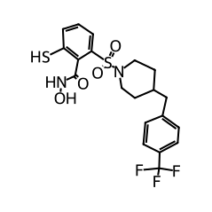 O=C(NO)c1c(S)cccc1S(=O)(=O)N1CCC(Cc2ccc(C(F)(F)F)cc2)CC1